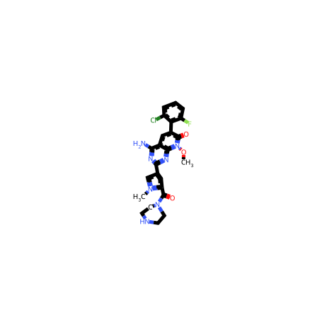 COn1c(=O)c(-c2c(F)cccc2Cl)cc2c(N)nc(-c3cc(C(=O)N4CCNCC4)n(C)c3)nc21